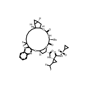 CC(C)(C)[C@@H]1NC(=O)O[C@@H]2C[C@@H]3C[C@@H]3[C@H]2CCCCC(F)(F)c2nc3ccccc3nc2O[C@@H]2C[C@@H](C(=O)N[C@]3(C(=O)NS(=O)(=O)C4CC4)CC3C(F)F)N(C2)C1=O